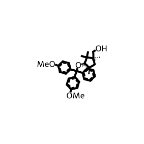 COc1ccc(C(O[C@@H]2[C@H](C)C[C@](C)(CO)C2(C)C)(c2ccccc2)c2ccc(OC)cc2)cc1